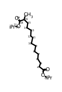 CC(C)OC(=O)CCCCCCCCCCCCC(C)C(=O)OC(C)C